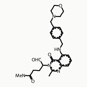 CNC(=O)CCC(C=O)n1c(C)nc2cccc(NCc3ccc(CN4CCOCC4)cc3)c2c1=O